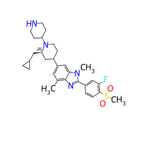 Cc1cc(C2CCN(C3CCNCC3)[C@H](CC3CC3)C2)cc2c1nc(-c1ccc(S(C)(=O)=O)c(F)c1)n2C